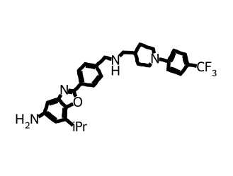 CC(C)c1cc(N)cc2nc(-c3ccc(CNCC4CCN(c5ccc(C(F)(F)F)cc5)CC4)cc3)oc12